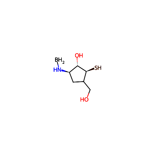 BN[C@@H]1CC(CO)[C@H](S)[C@H]1O